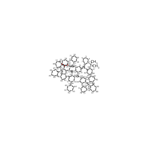 CC1(C)c2ccccc2N(c2cc3c4c(c2)N(c2ccccc2-c2ccccc2)c2ccc([Si](c5ccccc5)(c5ccccc5)c5ccccc5)cc2B4c2ccc(-c4ccccc4)cc2N3c2ccc([Si](c3ccccc3)(c3ccccc3)c3ccccc3)cc2)c2ccccc21